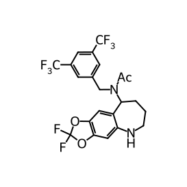 CC(=O)N(Cc1cc(C(F)(F)F)cc(C(F)(F)F)c1)C1CCCNc2cc3c(cc21)OC(F)(F)O3